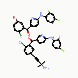 CC(C)(N)C#Cc1ccc(Cl)c(C(=O)c2ccc(Nc3ccc(F)cc3F)nc2)c1.O=C(c1ccc(Nc2ccc(F)cc2F)nc1)c1cc(Br)ccc1Cl